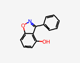 Oc1cccc2onc(-c3ccccc3)c12